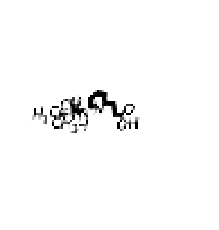 CC(C)(C)OC(=O)Nc1cccc(/C=C/C(=O)O)n1